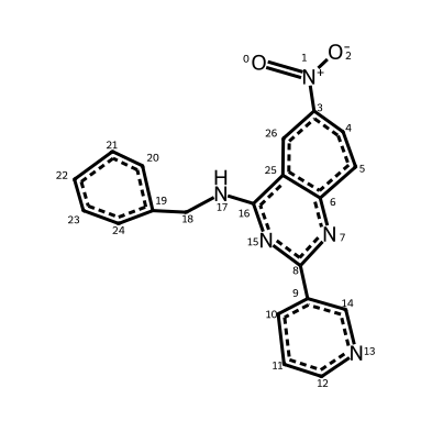 O=[N+]([O-])c1ccc2nc(-c3cccnc3)nc(NCc3ccccc3)c2c1